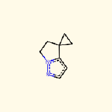 c1cc2n(n1)CCC21CC1